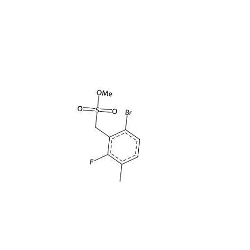 COS(=O)(=O)Cc1c(Br)ccc(C)c1F